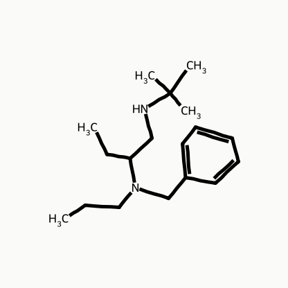 CCCN(Cc1ccccc1)C(CC)CNC(C)(C)C